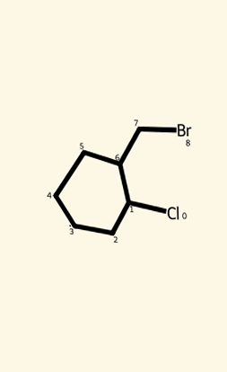 ClC1C[CH]CCC1CBr